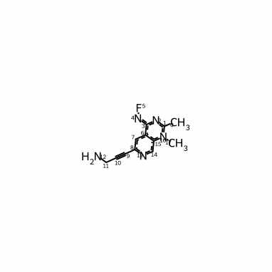 Cc1nc(=NF)c2cc(C#CCN)ncc2n1C